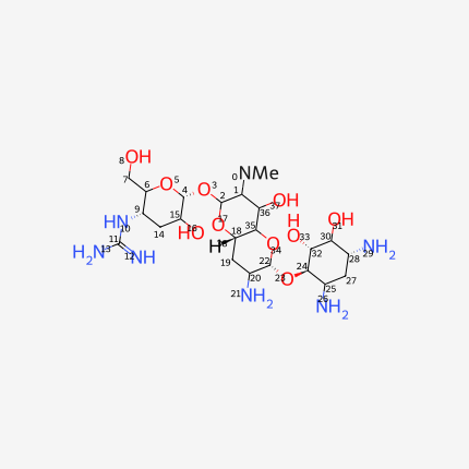 CNC1C(O[C@H]2OC(CO)[C@@H](NC(=N)N)CC2O)O[C@H]2CC(N)[C@@H](O[C@@H]3C(N)C[C@@H](N)C(O)[C@H]3O)OC2C1O